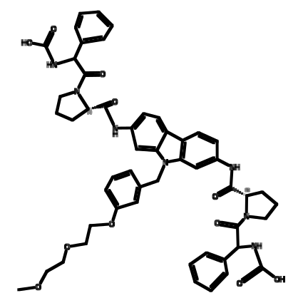 COCCOCCOc1cccc(Cn2c3cc(NC(=O)[C@@H]4CCCN4C(=O)C(NC(=O)O)c4ccccc4)ccc3c3ccc(NC(=O)[C@@H]4CCCN4C(=O)C(NC(=O)O)c4ccccc4)cc32)c1